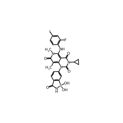 Cc1c(=O)n(C)c(Nc2ccc(I)cc2F)c2c(=O)n(C3CC3)c(=O)n(-c3ccc4c(c3)S(O)(O)NC4=O)c12